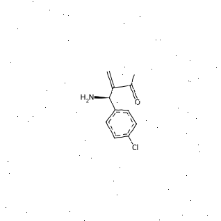 C=C(C(C)=O)[C@H](N)c1ccc(Cl)cc1